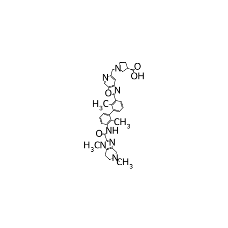 Cc1c(NC(=O)c2nc3c(n2C)CCN(C)C3)cccc1-c1cccc(-c2nc3cc(CN4CC[C@@H](C(=O)O)C4)ncc3o2)c1C